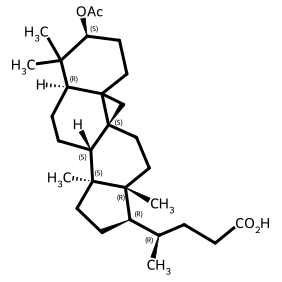 CC(=O)O[C@H]1CCC23C[C@]24CC[C@]2(C)[C@@H]([C@H](C)CCC(=O)O)CC[C@@]2(C)[C@@H]4CC[C@H]3C1(C)C